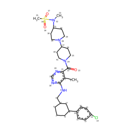 Cc1c(NCC2CCCC(c3ccc(Cl)cc3)C2)ncnc1C(=O)N1CCC(N2CCC(N(C)S(C)(=O)=O)CC2)CC1